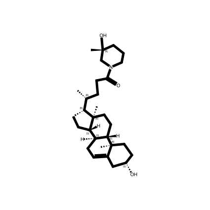 C[C@H](CCC(=O)N1CCC[C@@](C)(O)C1)[C@H]1CC[C@H]2[C@@H]3CC=C4C[C@@H](O)CC[C@]4(C)[C@H]3CC[C@]12C